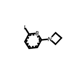 Ic1bc(N2CCC2)ccc1